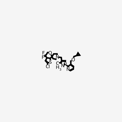 Cc1nn(-c2ncccc2COCC2CC2)cc1CN1CCC2(CC1)OCC(F)(F)C1C=C(Cl)SC12